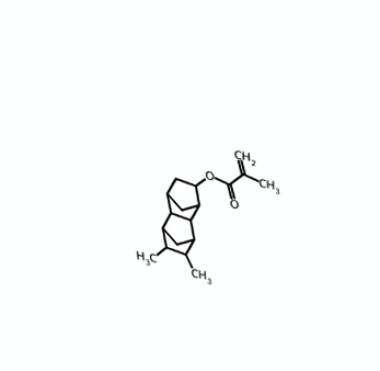 C=C(C)C(=O)OC1CC2CC1C1C3CC(C(C)C3C)C21